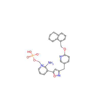 Nc1c(-c2cc(Cc3ccc(OCc4cccc5ccccc45)nc3)no2)ccc[n+]1COP(=O)([O-])O